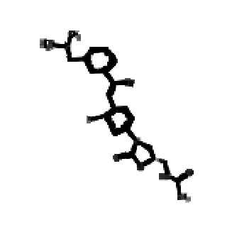 CC(=O)NC[C@H]1CN(c2ccc(/C=C(\Br)c3cccc(CN(C)C)c3)c(F)c2)C(=O)O1